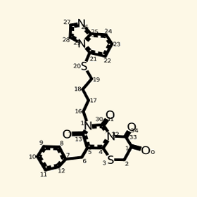 O=C1CSc2c(Cc3ccccc3)c(=O)n(CCCCSc3cccc4nccn34)c(=O)n2C1=O